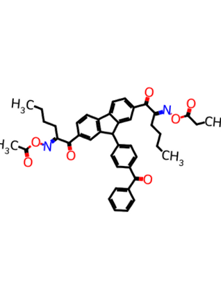 CCCC/C(=N\OC(C)=O)C(=O)c1ccc2c(c1)C(c1ccc(C(=O)c3ccccc3)cc1)c1cc(C(=O)/C(CCCC)=N/OC(=O)CC)ccc1-2